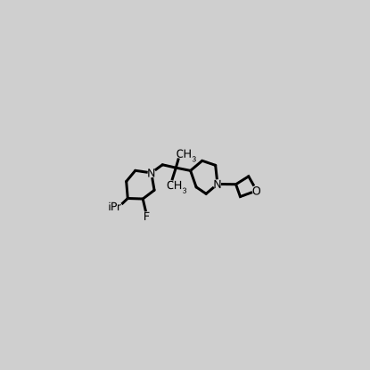 CC(C)C1CCN(CC(C)(C)C2CCN(C3COC3)CC2)CC1F